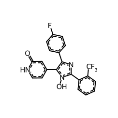 O=c1cc(-c2c(-c3ccc(F)cc3)nc(-c3ccccc3C(F)(F)F)n2O)cc[nH]1